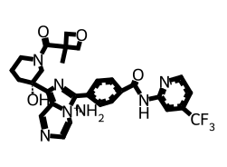 CC1(C(=O)N2CCC[C@](O)(C3=C4C=NC=C[N+]4(N)C(c4ccc(C(=O)Nc5cc(C(F)(F)F)ccn5)cc4)=N3)C2)COC1